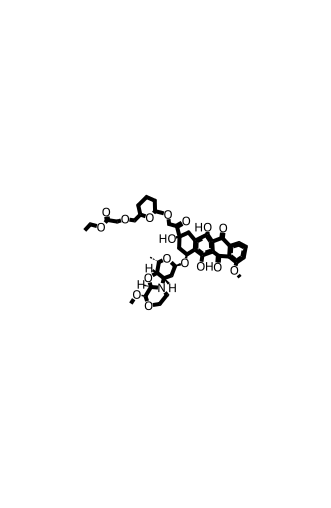 CCOC(=O)COCC1CCCC(OCC(=O)[C@]2(O)Cc3c(O)c4c(c(O)c3[C@@H](O[C@H]3C[C@H]5[C@H](O[C@@H]6[C@@H](OC)OCCN65)[C@H](C)O3)C2)C(=O)c2c(OC)cccc2C4=O)O1